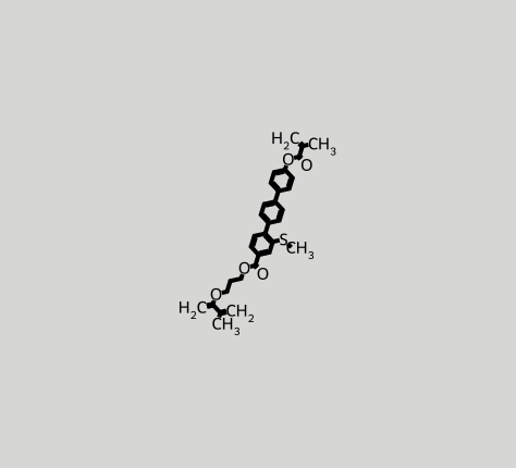 C=C(C)C(=C)OCCCOC(=O)c1ccc(-c2ccc(-c3ccc(OC(=O)C(=C)C)cc3)cc2)c(SC)c1